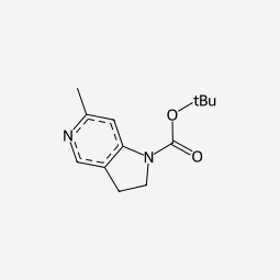 Cc1cc2c(cn1)CCN2C(=O)OC(C)(C)C